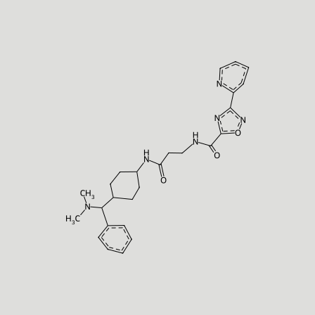 CN(C)C(c1ccccc1)C1CCC(NC(=O)CCNC(=O)c2nc(-c3ccccn3)no2)CC1